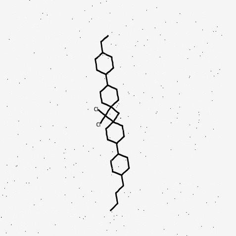 CCCCC1CCC(C2CCC3(CC2)CC2(CCC(C4CCC(CC)CC4)CC2)C3(Cl)Cl)CC1